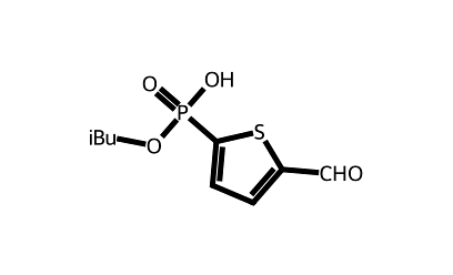 CCC(C)OP(=O)(O)c1ccc(C=O)s1